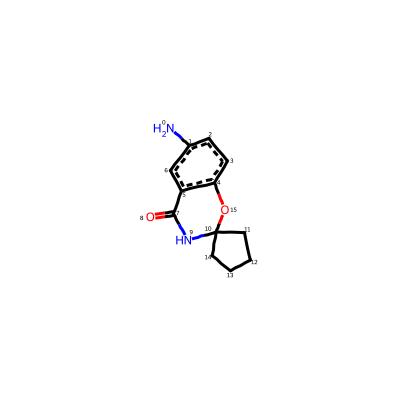 Nc1ccc2c(c1)C(=O)NC1(CCCC1)O2